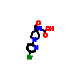 O=CC1(NC(=O)O)CCN(c2ccc(Br)cn2)CC1